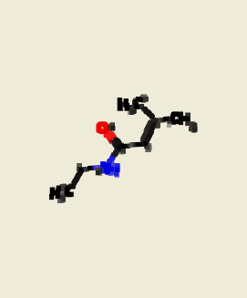 CCNC(=O)C=C(C)C